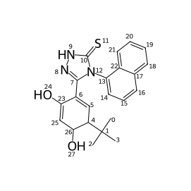 CC(C)(C)C1C=C(c2n[nH]c(=S)n2-c2cccc3ccccc23)C(O)=CC1O